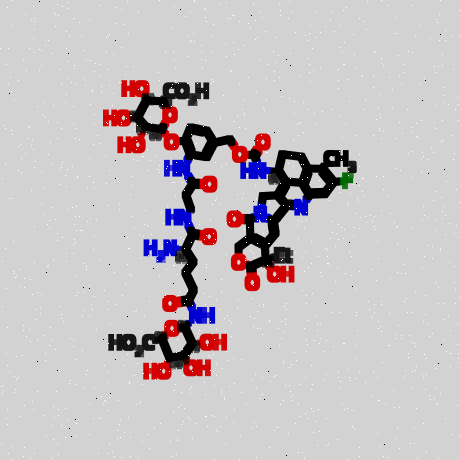 CC[C@@]1(O)C(=O)OCc2c1cc1n(c2=O)Cc2c-1nc1cc(F)c(C)c3c1c2[C@@H](NC(=O)OCc1ccc(O[C@@H]2O[C@H](C(=O)O)[C@@H](O)[C@H](O)[C@H]2O)c(NC(=O)CCNC(=O)[C@@H](N)CCCC(=O)N[C@H]2O[C@H](C(=O)O)[C@@H](O)[C@H](O)[C@H]2O)c1)CC3